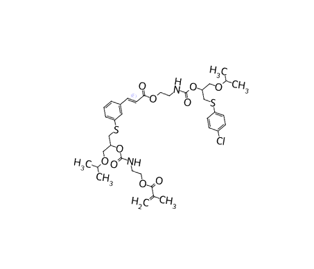 C=C(C)C(=O)OCCNC(=O)OC(COC(C)C)CSc1cccc(/C=C/C(=O)OCCNC(=O)OC(COC(C)C)CSc2ccc(Cl)cc2)c1